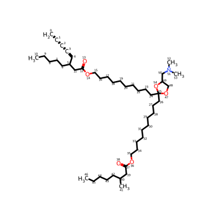 C=C=C=C=CC(CCCCC)CC(=O)OCCCCCCCCCCC1(CCCCCCCCCCOC(=O)CC(C)CCCCC)OCC(CN(C)C)O1